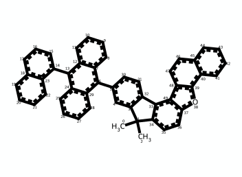 CC1(C)c2cc(-c3c4ccccc4c(-c4cccc5ccccc45)c4ccccc34)ccc2-c2c1ccc1oc3c4ccccc4ccc3c21